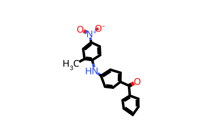 Cc1cc([N+](=O)[O-])ccc1Nc1ccc(C(=O)c2ccccc2)cc1